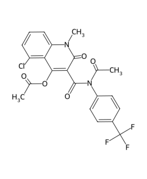 CC(=O)Oc1c(C(=O)N(C(C)=O)c2ccc(C(F)(F)F)cc2)c(=O)n(C)c2cccc(Cl)c12